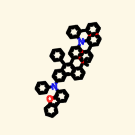 CC1(C)c2cc(N(c3ccccc3-c3ccccc3)c3ccccc3-c3ccccc3)ccc2-c2c(-c3ccccc3)c3ccc(N(c4ccccc4)c4cccc5c4oc4ccccc45)cc3c3cccc1c23